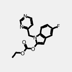 CCOC(=O)Oc1cc2cc(F)ccc2n1Cc1ccncn1